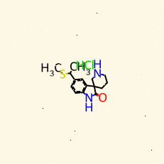 CSC(C)c1ccc2c(c1)C1(CCCNC1)C(=O)N2.Cl